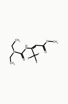 CCN(CC)C(=O)NC(=CC(=O)OC)C(F)(F)F